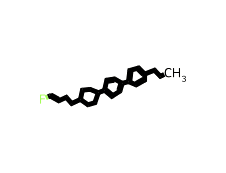 CCCc1ccc(-c2ccc(C3CCC(CCC=CF)CC3)cc2)cc1